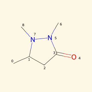 CC1CC(=O)N(C)N1C